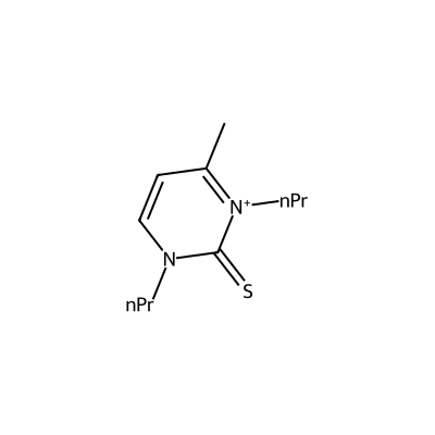 CCCn1ccc(C)[n+](CCC)c1=S